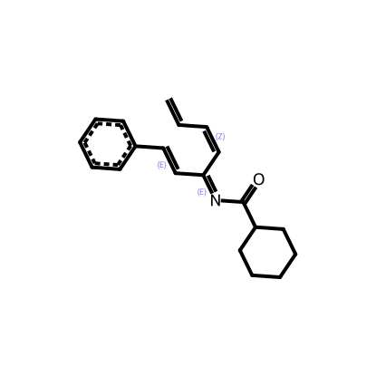 C=C\C=C/C(/C=C/c1ccccc1)=N\C(=O)C1CCCCC1